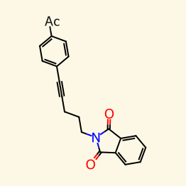 CC(=O)c1ccc(C#CCCCN2C(=O)c3ccccc3C2=O)cc1